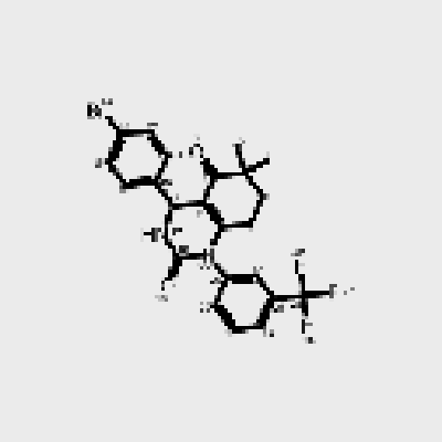 CC1(C)CCC2=C(C1=O)C(c1ccc(Br)cc1)NC(=O)N2c1cccc(C(F)(F)F)c1